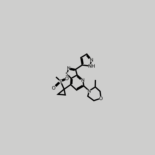 CC1COCCN1c1cc(C2(S(C)(=O)=O)CC2)c2snc(-c3ccn[nH]3)c2n1